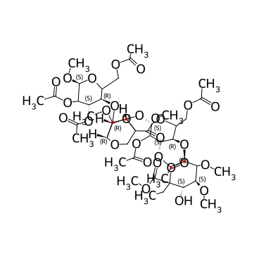 CCC1(C(=O)OC)O[C@@H](O[C@@H]2C(COC(C)=O)O[C@@H](O[C@H]3C(OC)[C@H]4OCC3(C(=O)OC)O[C@H]4O[C@@H]3C(COC(C)=O)O[C@H](OC)C(OC(C)=O)[C@H]3OC(C)=O)C(OC(C)=O)[C@H]2OC(C)=O)C(OC)[C@@H](OC)[C@@H]1O